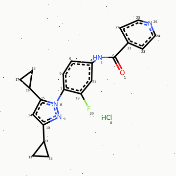 Cl.O=C(Nc1ccc(-n2nc(C3CC3)cc2C2CC2)c(F)c1)c1ccncc1